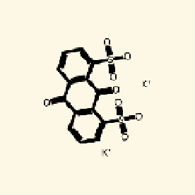 O=C1c2cccc(S(=O)(=O)[O-])c2C(=O)c2c1cccc2S(=O)(=O)[O-].[K+].[K+]